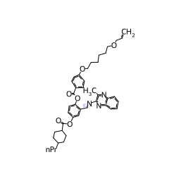 C=CCOCCCCCCOc1ccc(C(=O)Oc2ccc(OC(=O)C3CCC(CCC)CC3)cc2/C=N/c2nc3ccccc3nc2C)cc1